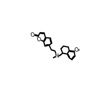 COc1cccc2c1CCCC2CN(C)CCc1ccc2ccc(=O)oc2c1